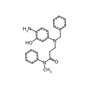 CN(C(=O)CCN(Cc1ccccc1)c1ccc(N)c(O)c1)c1ccccc1